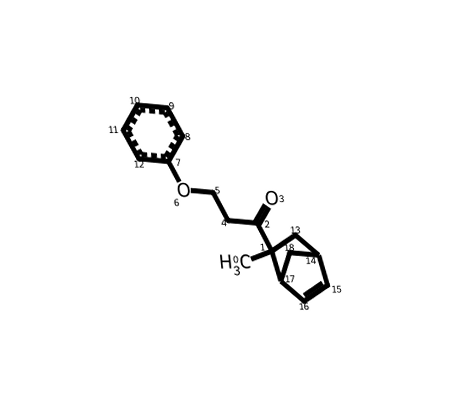 CC1(C(=O)CCOc2ccccc2)CC2C=CC1C2